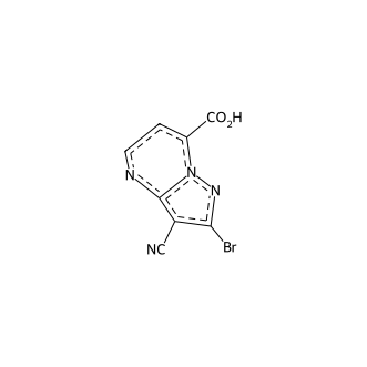 N#Cc1c(Br)nn2c(C(=O)O)ccnc12